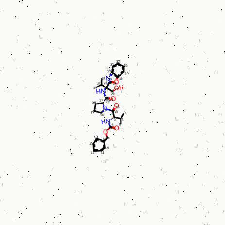 CC(C)[C@H](NC(=O)OCc1ccccc1)C(=O)N1CCC[C@H]1C(=O)NC(CO)(c1nc2ccccc2o1)C(C)C